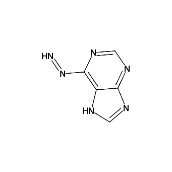 N=Nc1ncnc2nc[nH]c12